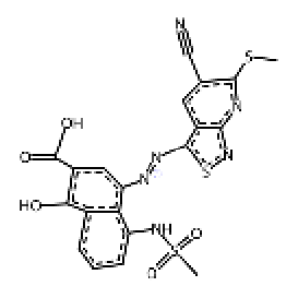 CSc1nc2nsc(/N=N/c3cc(C(=O)O)c(O)c4cccc(NS(C)(=O)=O)c34)c2cc1C#N